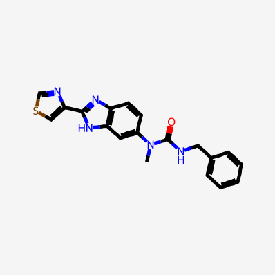 CN(C(=O)NCc1ccccc1)c1ccc2nc(-c3cscn3)[nH]c2c1